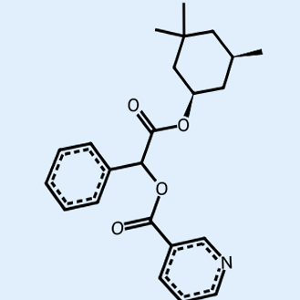 C[C@H]1C[C@@H](OC(=O)C(OC(=O)c2cccnc2)c2ccccc2)CC(C)(C)C1